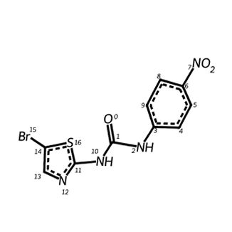 O=C(Nc1ccc([N+](=O)[O-])cc1)Nc1ncc(Br)s1